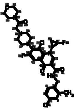 Cc1cc(Cl)ccc1CNC(=O)c1cn([C@H]2C[C@H]2F)c2c(Cl)c(N3CCN(CC(=O)N4CCOCC4)CC3)c(F)cc2c1=O